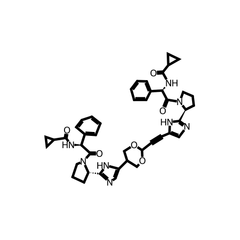 O=C(N[C@H](C(=O)N1CCC[C@H]1c1ncc(C#CC2OCC(c3cnc([C@@H]4CCCN4C(=O)[C@@H](NC(=O)C4CC4)c4ccccc4)[nH]3)CO2)[nH]1)c1ccccc1)C1CC1